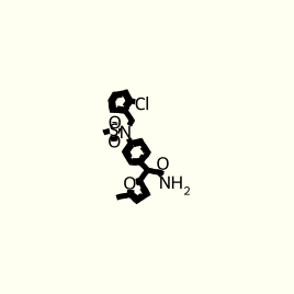 Cc1ccc(C(C(N)=O)c2ccc(N(Cc3ccccc3Cl)S(C)(=O)=O)cc2)o1